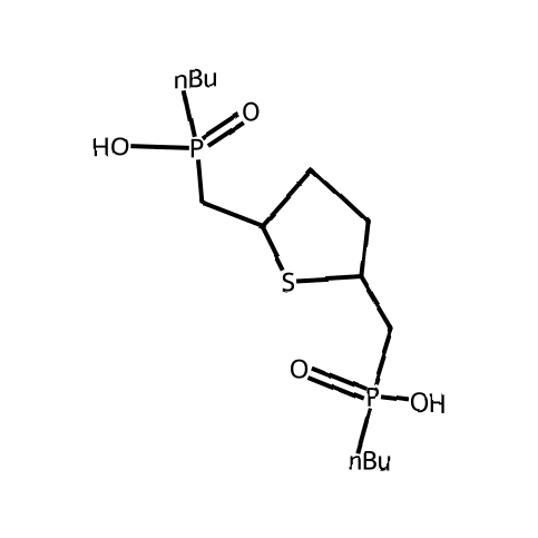 CCCCP(=O)(O)CC1CCC(CP(=O)(O)CCCC)S1